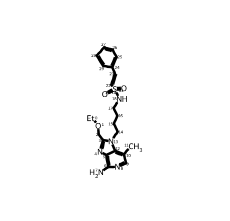 CCOCc1nc2c(N)ncc(C)c2n1CCCCNS(=O)(=O)/C=C/c1ccccc1